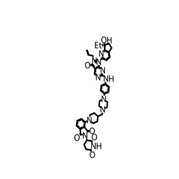 C=CCn1c(=O)c2cnc(Nc3ccc(N4CCN(CC5CCN(c6cccc7c6C(=O)N(C6CCC(=O)NC6=O)C7=O)CC5)CC4)cc3)nc2n1-c1ccc2c(n1)[C@@](O)(CC)CC2